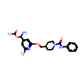 NC(OC(=O)C(F)(F)F)c1cc(OCC2CCN(C(=O)Nc3ccccc3)CC2)nc(C(F)(F)F)c1